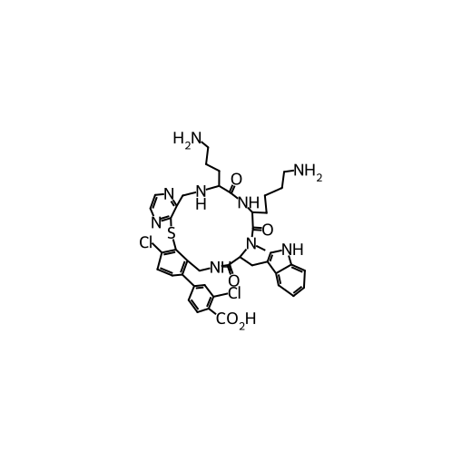 CN1C(=O)C(CCCCN)NC(=O)C(CCCN)NCc2nccnc2Sc2c(Cl)ccc(-c3ccc(C(=O)O)c(Cl)c3)c2CNC(=O)C1Cc1c[nH]c2ccccc12